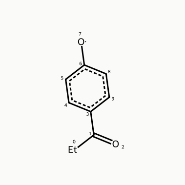 CCC(=O)c1ccc([O])cc1